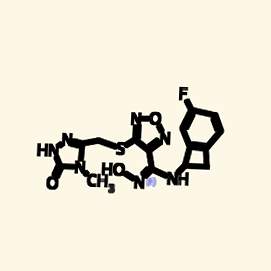 Cn1c(CSc2nonc2/C(=N\O)NC2Cc3ccc(F)cc32)n[nH]c1=O